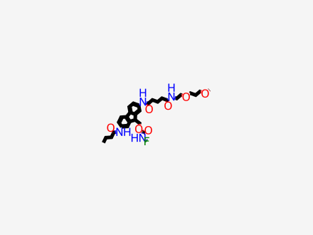 CCCC(=O)Nc1ccc2c(c1)C(COC(=O)NF)c1cc(NC(=O)CCCC(=O)NCCOCCCOC)ccc1-2